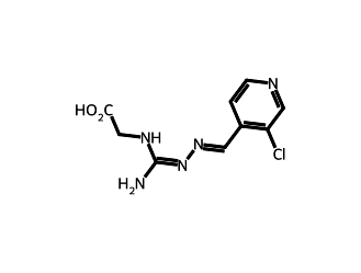 NC(=NN=Cc1ccncc1Cl)NCC(=O)O